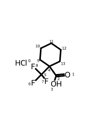 Cl.O=C(O)C1(C(F)(F)F)CCCCC1